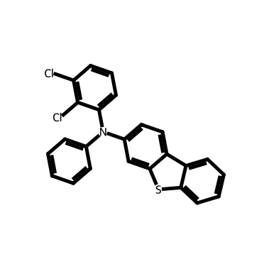 Clc1cccc(N(c2ccccc2)c2ccc3c(c2)sc2ccccc23)c1Cl